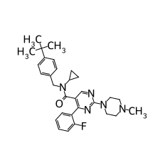 CN1CCN(c2ncc(C(=O)N(Cc3ccc(C(C)(C)C)cc3)C3CC3)c(-c3ccccc3F)n2)CC1